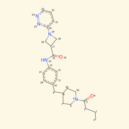 CCCC(=O)N1CCC(Cc2ccc(NC(=O)C3CN(c4cccnn4)C3)cc2)CC1